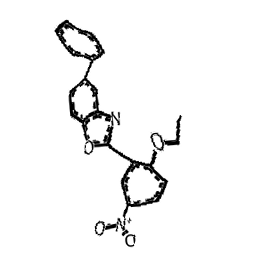 CCOc1ccc([N+](=O)[O-])cc1-c1nc2cc(-c3ccccc3)ccc2o1